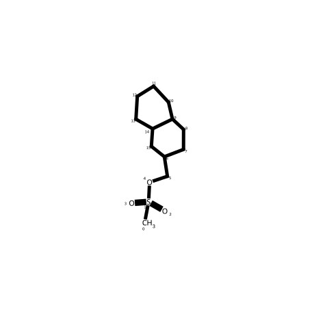 CS(=O)(=O)OCC1CCC2CCCCC2C1